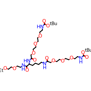 CCOCCOCCNC(=O)C(CCCCNC(=O)COCCOCCOCCNC(=O)OC(C)(C)C)NC(=O)COCCOCCOCCNC(=O)OC(C)(C)C